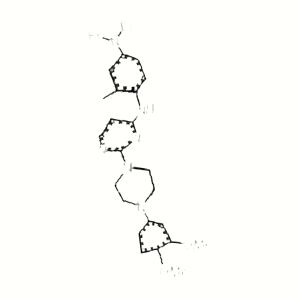 CCN(CC)c1ccc(Nc2ccnc(N3CCN(c4ccc(OC)c(OC)c4)CC3)n2)c(C)c1